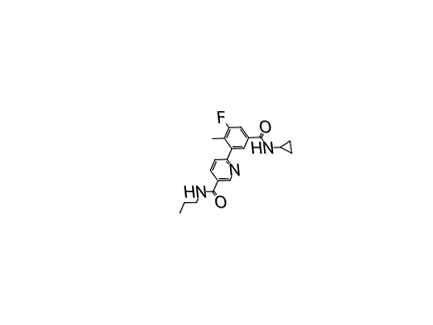 CCCNC(=O)c1ccc(-c2cc(C(=O)NC3CC3)cc(F)c2C)nc1